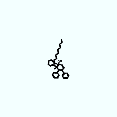 CCCCCCCCCCC1(OC)C=CC(c2ccccc2)=C(c2ccccc2)C1(C)c1ccccc1